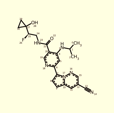 CC(C)Nc1cc(-c2ccc3cc(C#N)cnn23)ncc1C(=O)NC[C@@H](F)C1(O)CC1